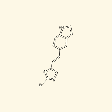 Brc1ncc(C=Cc2ccc3[nH]ccc3c2)s1